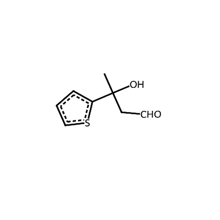 CC(O)(CC=O)c1cccs1